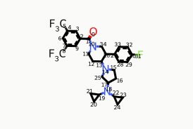 O=C(c1cc(C(F)(F)F)cc(C(F)(F)F)c1)N1CCC(N2CCC(N(C3CC3)C3CC3)C2)C(c2ccc(F)cc2)C1